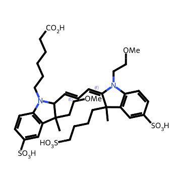 COCCN1/C(=C/C=C/C2N(CCCCCC(=O)O)c3ccc(S(=O)(=O)O)cc3C2(C)CCOC)C(C)(CCCCS(=O)(=O)O)c2cc(S(=O)(=O)O)ccc21